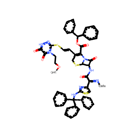 CON=C(C(=O)NC1C(=O)N2C(C(=O)OC(c3ccccc3)c3ccccc3)=C(C=CSc3n[nH]c(=O)c(=O)n3CCOC=O)CSC12)c1csc(NC(c2ccccc2)(c2ccccc2)c2ccccc2)n1